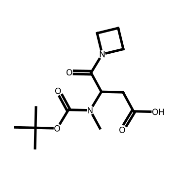 CN(C(=O)OC(C)(C)C)C(CC(=O)O)C(=O)N1CCC1